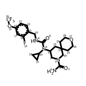 NC(=O)N1CC(N(C(=O)NCc2ccc(OC(F)(F)F)cc2F)C2CC2)CC2(CCOCC2)C1